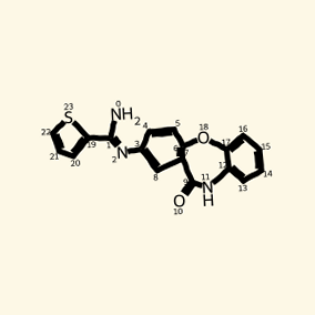 NC(=Nc1ccc2c(c1)C(=O)Nc1ccccc1O2)c1cccs1